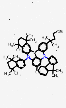 Cc1cc2c3c(c1)N(c1cccc4c1C1=C(C=CCC1)C4(C)C)c1cc(C(C)(C)CCC(C)(C)C)ccc1B3c1cc3c(cc1N2c1ccc2c(c1)C(C)(C)CCC2(C)C)C(C)(C)CCC3(C)C